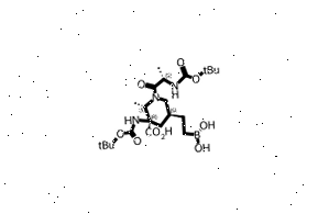 C[C@H](NC(=O)OC(C)(C)C)C(=O)N1C[C@@H](CCB(O)O)C[C@](NC(=O)OC(C)(C)C)(C(=O)O)[C@@H]1C